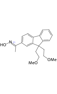 COCCC1(CCOC)c2ccccc2-c2ccc(/C(C)=N/O)cc21